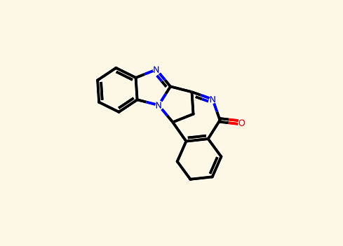 O=C1N=C2CC(C3=C1C=CCC3)n1c2nc2ccccc21